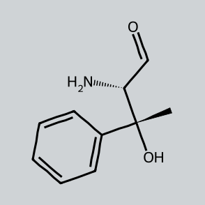 C[C@@](O)(c1ccccc1)[C@H](N)C=O